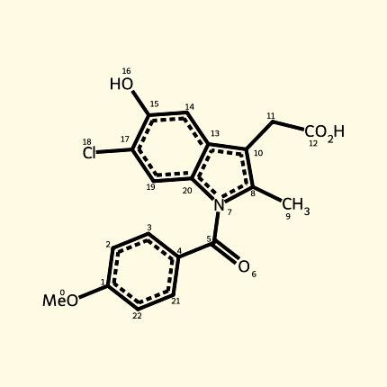 COc1ccc(C(=O)n2c(C)c(CC(=O)O)c3cc(O)c(Cl)cc32)cc1